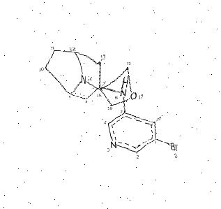 Brc1cncc(NC2CC3CCC(C2)N3C2COC2)c1